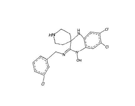 ON1/C(=N/Cc2cccc(Cl)c2)C2(CCNCC2)Nc2cc(Cl)c(Cl)cc21